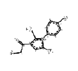 Cc1c(C(=O)CBr)cc(C(F)(F)F)n1-c1ccc(C#N)cc1